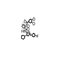 COc1ccc([C@@H](OC)C(=O)N2[C@@H](C(=O)Nc3nn(-c4ccc(F)cc4)cc3-c3ccccc3)CC[C@@H]2C)cc1OC